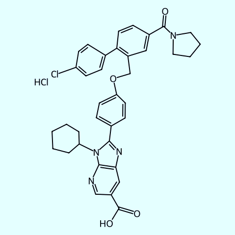 Cl.O=C(O)c1cnc2c(c1)nc(-c1ccc(OCc3cc(C(=O)N4CCCC4)ccc3-c3ccc(Cl)cc3)cc1)n2C1CCCCC1